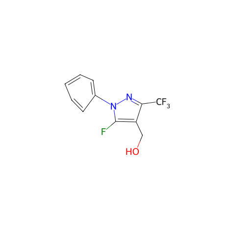 OCc1c(C(F)(F)F)nn(-c2ccccc2)c1F